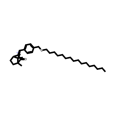 CCCCCCCCCCCCCCCCOCc1ccc(/C=C2\C(=O)C3(C)CCC2C3(C)C)cc1